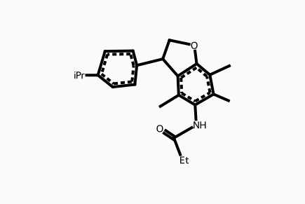 CCC(=O)Nc1c(C)c(C)c2c(c1C)C(c1ccc(C(C)C)cc1)CO2